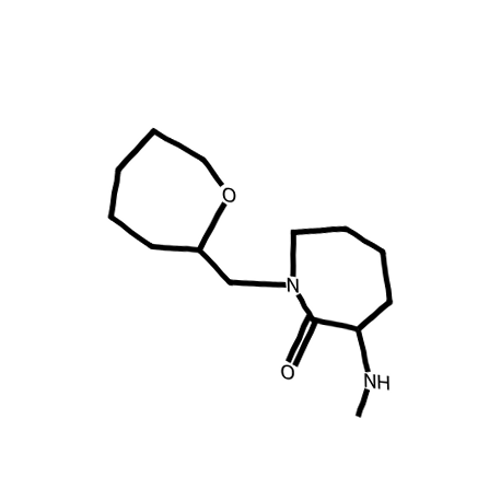 CNC1CCCCN(CC2CCCCCO2)C1=O